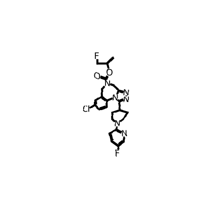 CC(CF)OC(=O)N1Cc2cc(Cl)ccc2-n2c(nnc2C2CCN(c3ccc(F)cn3)CC2)C1